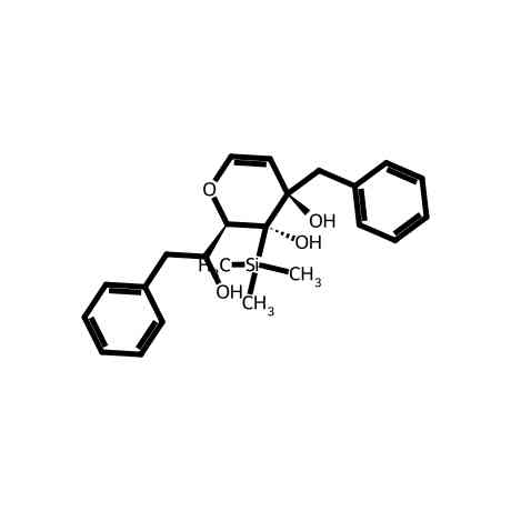 C[Si](C)(C)[C@@]1(O)[C@@H](C(O)Cc2ccccc2)OC=C[C@]1(O)Cc1ccccc1